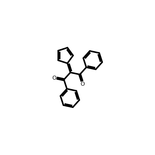 O=C(C(C(=O)c1ccccc1)=C1C=CC=C1)c1ccccc1